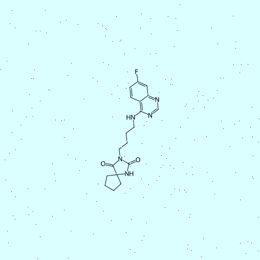 O=C1NC2(CCCC2)C(=O)N1CCCCNc1ncnc2cc(F)ccc12